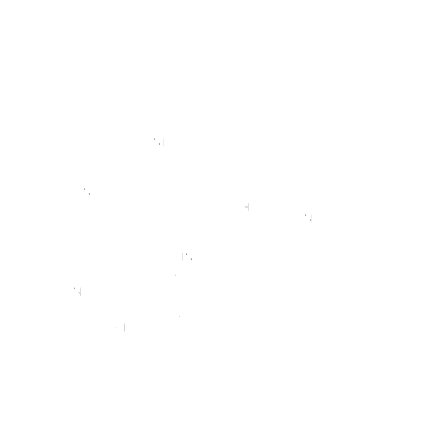 Cc1ncc(NC2CCNC2)cc1C(=O)NCC(O)CN1CCc2ccccc2C1